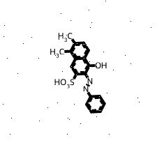 Cc1ccc2c(O)c(N=Nc3ccccc3)c(S(=O)(=O)O)cc2c1C